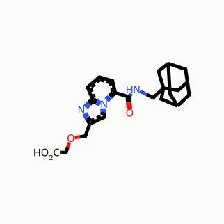 O=C(O)COCc1cn2c(C(=O)NCC34CC5CC(CC(C5)C3)C4)cccc2n1